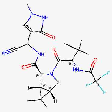 Cn1cc(C(C#N)NC(=O)[C@@H]2[C@@H]3[C@H](CN2C(=O)[C@@H](NC(=O)C(F)(F)F)C(C)(C)C)C3(C)C)c(=O)[nH]1